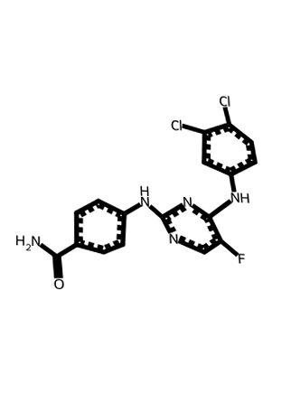 NC(=O)c1ccc(Nc2ncc(F)c(Nc3ccc(Cl)c(Cl)c3)n2)cc1